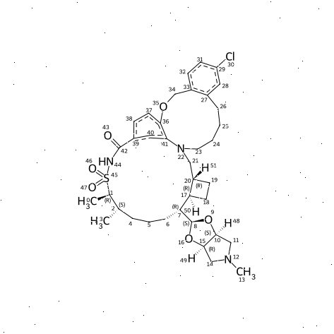 C[C@@H]1[C@@H](C)CCC[C@@H]([C@H]2O[C@H]3CN(C)C[C@H]3O2)[C@@H]2CC[C@H]2CN2CCCCc3cc(Cl)ccc3COc3ccc(cc32)C(=O)NS1(=O)=O